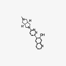 CN1C[C@@H]2CN(c3ccc(-c4cc5cccnc5cc4O)nn3)C[C@@H]2C1